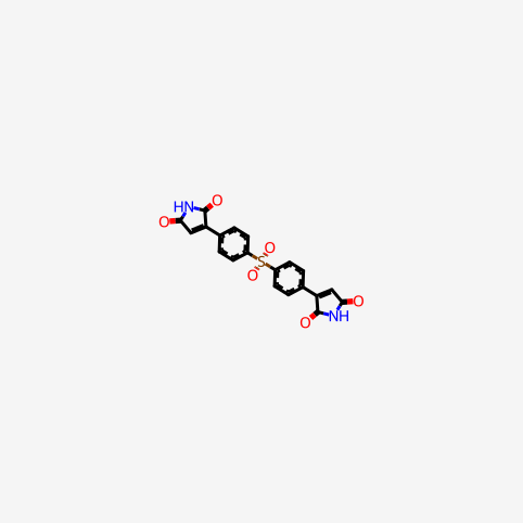 O=C1C=C(c2ccc(S(=O)(=O)c3ccc(C4=CC(=O)NC4=O)cc3)cc2)C(=O)N1